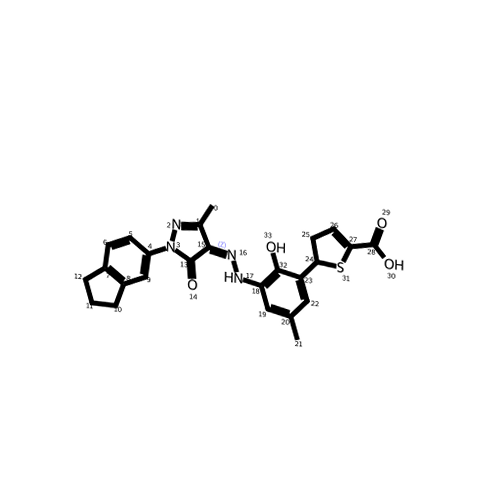 CC1=NN(c2ccc3c(c2)CCC3)C(=O)/C1=N\Nc1cc(C)cc(C2CC=C(C(=O)O)S2)c1O